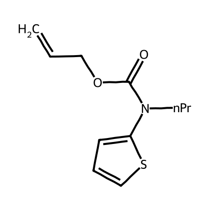 C=CCOC(=O)N(CCC)c1cccs1